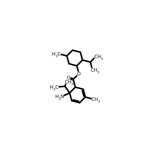 CC1=CC(C(=O)OC2CC(C)CCC2C(C)C)C(N)(C(C)C)C=C1